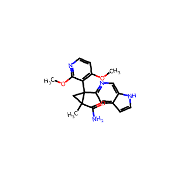 COc1ccnc(OC)c1C1(c2cc3cc[nH]c3cn2)CC1(C)C(N)=O